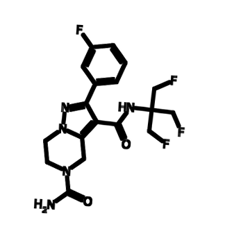 NC(=O)N1CCn2nc(-c3cccc(F)c3)c(C(=O)NC(CF)(CF)CF)c2C1